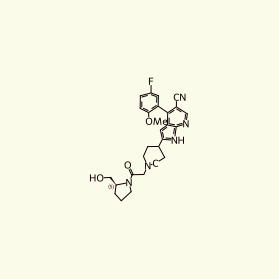 COc1ccc(F)cc1-c1c(C#N)cnc2[nH]c(C3CCN(CC(=O)N4CCC[C@H]4CO)CC3)cc12